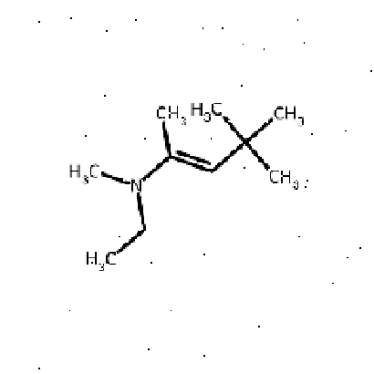 CCN(C)/C(C)=C/C(C)(C)C